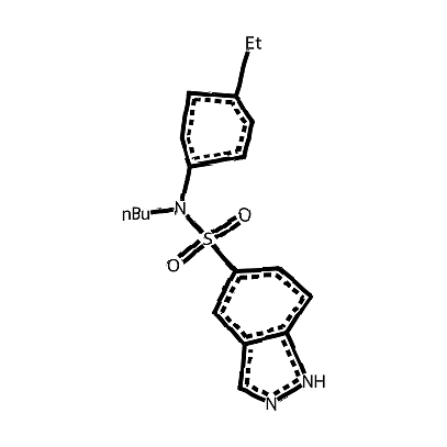 CCCCN(c1ccc(CC)cc1)S(=O)(=O)c1ccc2[nH]ncc2c1